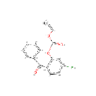 C=COC(=O)Oc1cc(F)ccc1C(=O)c1ccccc1